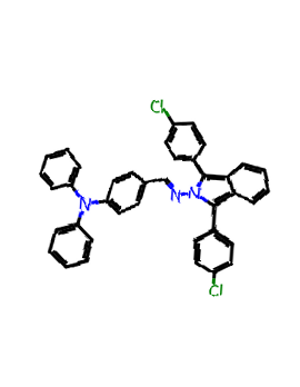 Clc1ccc(-c2c3ccccc3c(-c3ccc(Cl)cc3)n2N=Cc2ccc(N(c3ccccc3)c3ccccc3)cc2)cc1